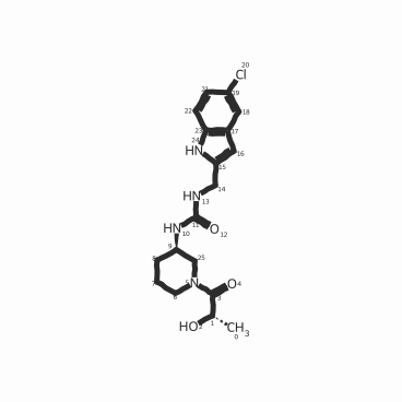 C[C@H](O)C(=O)N1CCC[C@@H](NC(=O)NCc2cc3cc(Cl)ccc3[nH]2)C1